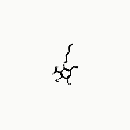 CCCCCOc1c(CC)cc(O)c(O)c1C(=O)O